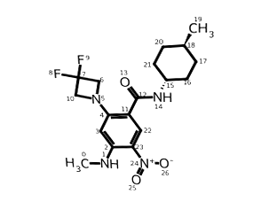 CNc1cc(N2CC(F)(F)C2)c(C(=O)N[C@H]2CC[C@H](C)CC2)cc1[N+](=O)[O-]